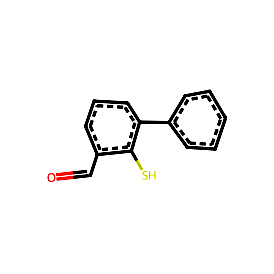 O=Cc1cccc(-c2ccccc2)c1S